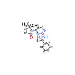 CC(Nc1nccc(N2C(=O)CCC2(C)C)n1)c1ccccc1